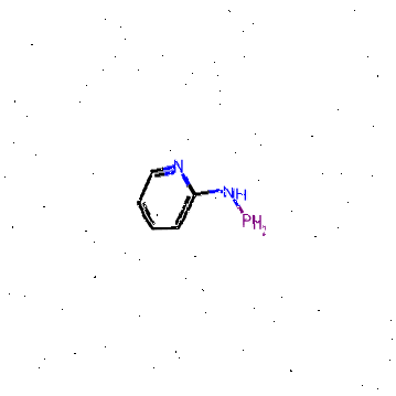 PNc1ccccn1